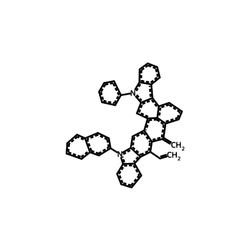 C=Cc1c2c(=C)c3cccc4c3c(cc3c4c4ccccc4n3-c3ccccc3)c2cc2c1c1ccccc1n2-c1ccc2ccccc2c1